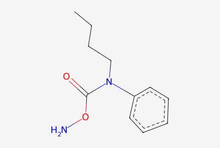 CCCCN(C(=O)ON)c1ccccc1